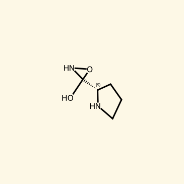 OC1([C@@H]2CCCN2)NO1